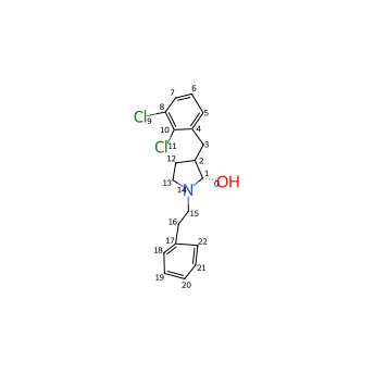 O[C@H]1C(Cc2cccc(Cl)c2Cl)CCN1CCc1ccccc1